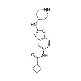 O=C(Nc1ccc2oc(NC3CCNCC3)nc2c1)C1CCC1